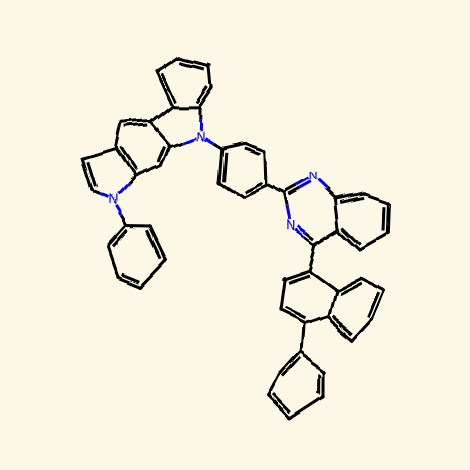 c1ccc(-c2ccc(-c3nc(-c4ccc(-n5c6ccccc6c6cc7ccn(-c8ccccc8)c7cc65)cc4)nc4ccccc34)c3ccccc23)cc1